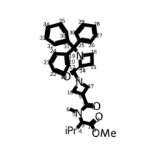 COC(=O)C(C(C)C)N(C)C(=O)C1CN(C(=O)[C@@H]2CCN2C(c2ccccc2)(c2ccccc2)c2ccccc2)C1